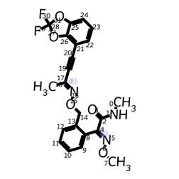 CNC(=O)/C(=N/OC)c1ccccc1CO/N=C(\C)C#Cc1cccc2c1OC(F)(F)O2